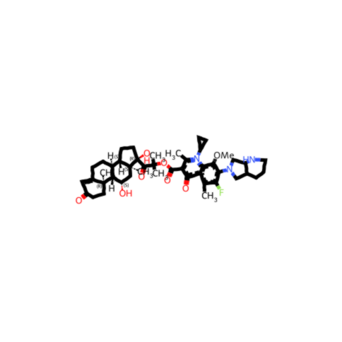 COc1c(N2CC3CCCNC3C2)c(F)c(C)c2c(=O)c(C(=O)OC(C)(C)C(=O)[C@@]3(O)CC[C@H]4[C@@H]5CCC6=CC(=O)CC[C@]6(C)[C@H]5[C@@H](O)C[C@@]43C)c(C)n(C3CC3)c12